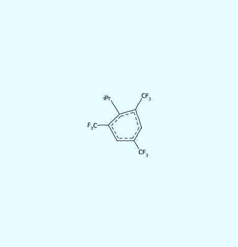 C[C](C)c1c(C(F)(F)F)cc(C(F)(F)F)cc1C(F)(F)F